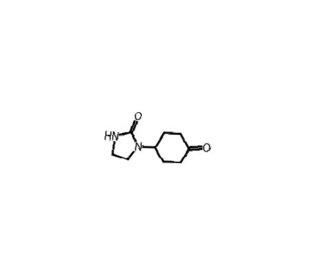 O=C1CCC(N2CCNC2=O)CC1